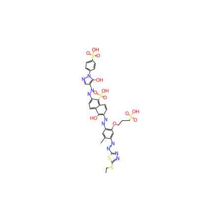 CCSc1nnc(N=Nc2cc(OCCCS(=O)(=O)O)c(N=Nc3ccc4c(S(=O)(=O)O)c(N=Nc5cnn(-c6ccc(S(=O)(=O)O)cc6)c5O)ccc4c3O)cc2C)s1